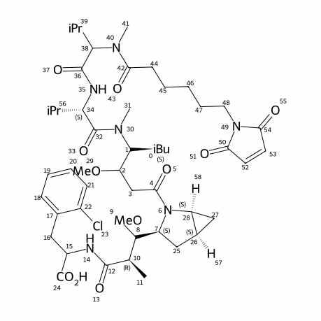 CC[C@H](C)C(C(CC(=O)N1[C@H](C(OC)[C@@H](C)C(=O)NC(Cc2ccccc2Cl)C(=O)O)C[C@@H]2C[C@@H]21)OC)N(C)C(=O)[C@@H](NC(=O)C(C(C)C)N(C)C(=O)CCCCCN1C(=O)C=CC1=O)C(C)C